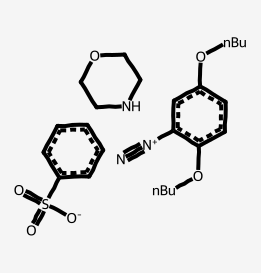 C1COCCN1.CCCCOc1ccc(OCCCC)c([N+]#N)c1.O=S(=O)([O-])c1ccccc1